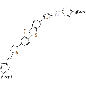 CCCCCc1ccc(/C=C/C2=CCC(c3ccc4c(c3)SC3c5ccc(-c6ccc(/C=C/c7ccc(CCCCC)cc7)s6)cc5SC43)S2)cc1